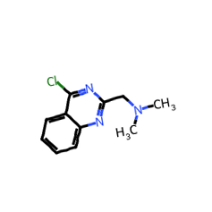 CN(C)Cc1nc(Cl)c2ccccc2n1